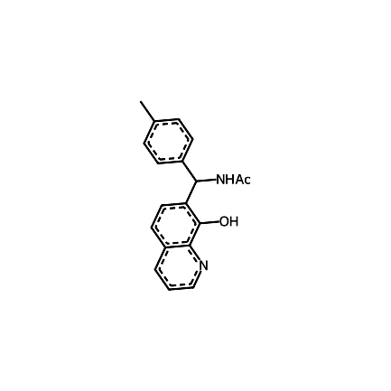 CC(=O)NC(c1ccc(C)cc1)c1ccc2cccnc2c1O